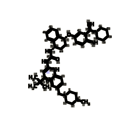 CN1CCN(Cc2ccc(N/C(=C\C(=N)C(C)(C)C)NC(=O)N[C@H]3CC[C@@H](Oc4ccc(=N)n(C(=N)N5CCCCC5)c4)c4ccccc43)cc2)CC1